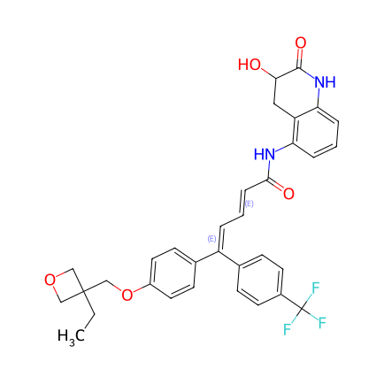 CCC1(COc2ccc(/C(=C/C=C/C(=O)Nc3cccc4c3CC(O)C(=O)N4)c3ccc(C(F)(F)F)cc3)cc2)COC1